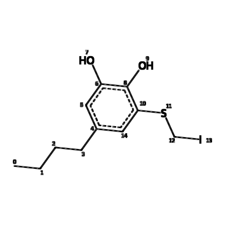 CCCCc1cc(O)c(O)c(SCI)c1